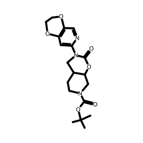 CC(C)(C)OC(=O)N1CCC2CN(c3cc4c(cn3)OCCO4)C(=O)OC2C1